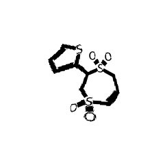 O=S1(=O)C=CCS(=O)(=O)C(c2cccs2)C1